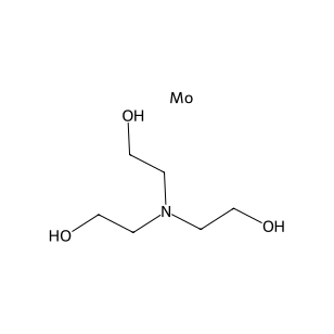 OCCN(CCO)CCO.[Mo]